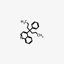 CCCC(CCC)(c1ccccc1)c1ccnc2ccccc12